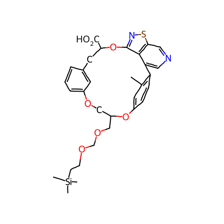 Cc1cc2ccc1-c1cncc3snc(c13)OC(C(=O)O)Cc1cccc(c1)OCC(COCOCC[Si](C)(C)C)O2